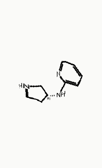 c1ccc(N[C@@H]2CCNC2)nc1